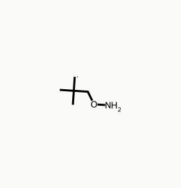 [CH2]C(C)(C)CON